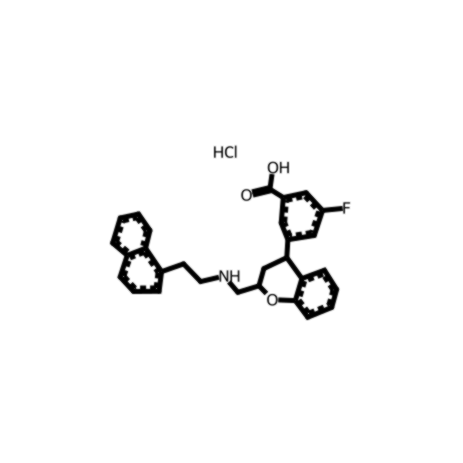 Cl.O=C(O)c1cc(F)cc(C2CC(CNCCc3cccc4ccccc34)Oc3ccccc32)c1